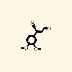 COc1ccc(C(C#N)=CC=O)cc1OC